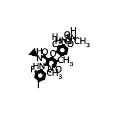 CNS(=O)(=O)Nc1cccc(Oc2c(C(=O)NC3CC3)c(Nc3ccc(I)cc3F)n(C)c(=O)c2C)c1C